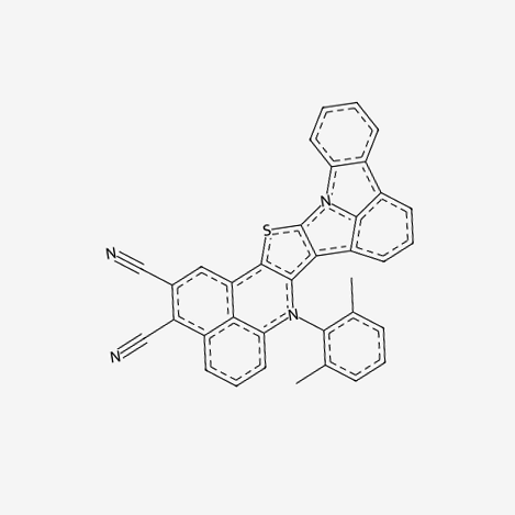 Cc1cccc(C)c1-n1c2cccc3c(C#N)c(C#N)cc(c4sc5c(c6cccc7c8ccccc8n5c76)c41)c32